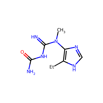 CCc1[nH]cnc1N(C)C(=N)NC(N)=O